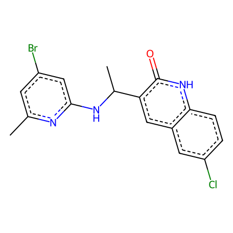 Cc1cc(Br)cc(NC(C)c2cc3cc(Cl)ccc3[nH]c2=O)n1